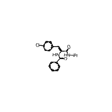 CC(C)NC(=O)C(=Cc1ccc(Cl)cc1)NC(=O)c1ccccc1